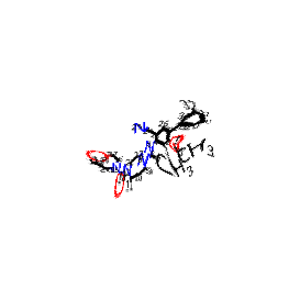 COc1cc(N=C(C)N2CCCN(C(=O)N3CCOCC3)CC2)c(C#N)cc1-c1ccccc1